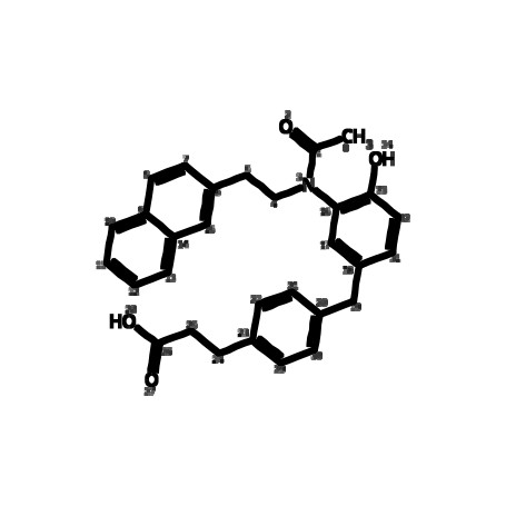 CC(=O)N(CCc1ccc2ccccc2c1)c1cc(Cc2ccc(CCC(=O)O)cc2)ccc1O